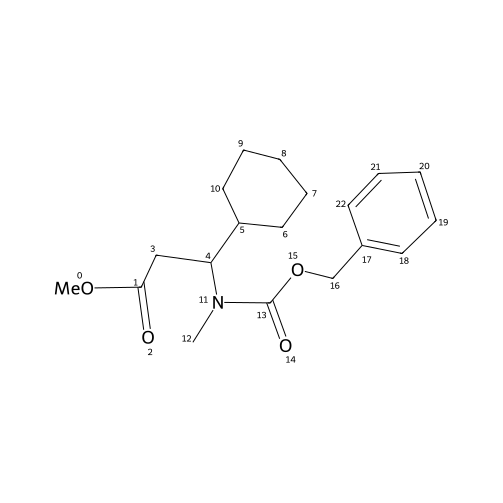 COC(=O)CC(C1CCCCC1)N(C)C(=O)OCc1ccccc1